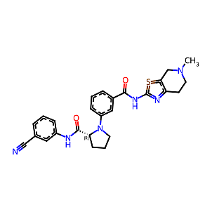 CN1CCc2nc(NC(=O)c3cccc(N4CCC[C@@H]4C(=O)Nc4cccc(C#N)c4)c3)sc2C1